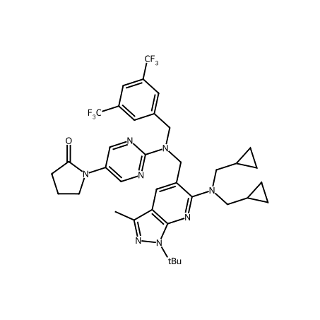 Cc1nn(C(C)(C)C)c2nc(N(CC3CC3)CC3CC3)c(CN(Cc3cc(C(F)(F)F)cc(C(F)(F)F)c3)c3ncc(N4CCCC4=O)cn3)cc12